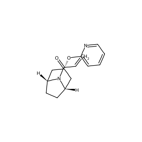 C=CC(=O)N1[C@@H]2CC[C@H]1C[C@@H](Oc1ccccn1)C2